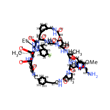 CC[C@H]1NC(=O)[C@H](C)NC(=O)CCC(=O)N2CCC/C=C/Cn3cc(c4cc(F)ccc43)C[C@@H]3NC(=O)[C@H](Cc4cccc(c4)CNC(=O)CO[C@H]4CCN(C3=O)[C@@H]4C(=O)N[C@@H]([C@@H](C)OCc3cn(CCN)nn3)C(=O)N[C@@H](Cc3ccc(OC)cc3)C(=O)N3CCC[C@@]3(C)C(=O)NCCc3ccc(cc3)C2)NC1=O